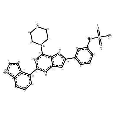 CC(C)S(=O)(=O)Nc1cccc(-c2cc3nc(-c4cccc5[nH]ncc45)nc(N4CCOCC4)c3s2)c1